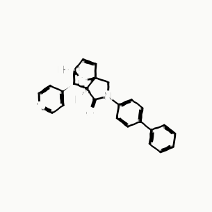 O=C1[C@H]2[C@@H](c3ccncc3)[C@H]3C=CC2(CN1c1ccc(-c2ccccc2)cc1)O3